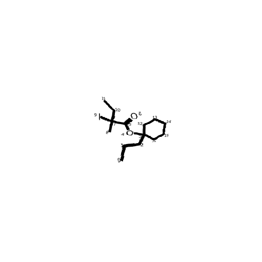 CCCC1(OC(=O)C(C)(I)CC)CCCCC1